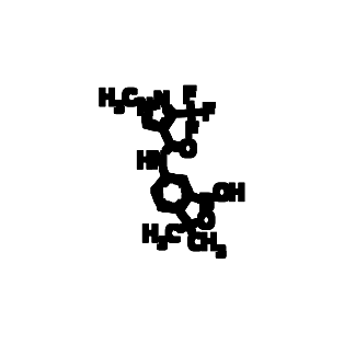 Cn1cc(C(=O)Nc2ccc3c(c2)B(O)OC3(C)C)c(C(F)(F)F)n1